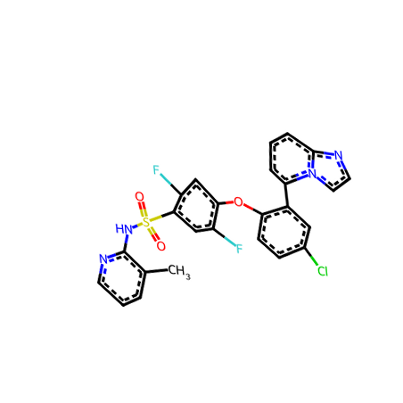 Cc1cccnc1NS(=O)(=O)c1cc(F)c(Oc2ccc(Cl)cc2-c2cccc3nccn23)cc1F